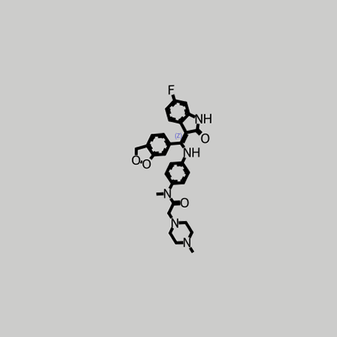 CN1CCN(CC(=O)N(C)c2ccc(N/C(=C3\C(=O)Nc4cc(F)ccc43)c3ccc4c(c3)OOC4)cc2)CC1